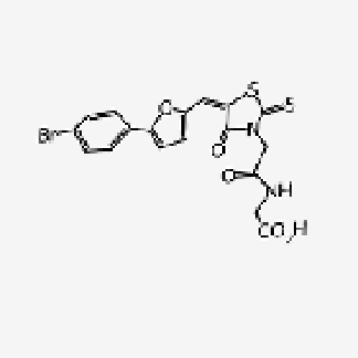 O=C(O)CNC(=O)CN1C(=O)/C(=C\c2ccc(-c3ccc(Br)cc3)o2)SC1=S